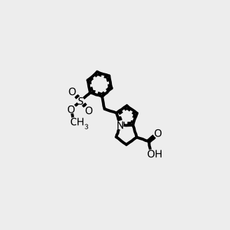 COS(=O)(=O)c1ccccc1Cc1ccc2n1CCC2C(=O)O